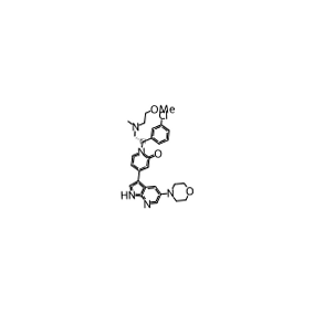 COCCN(C)C[C@H](c1cccc(Cl)c1)n1ccc(-c2c[nH]c3ncc(N4CCOCC4)cc23)cc1=O